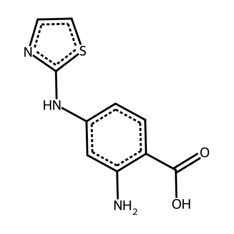 Nc1cc(Nc2nccs2)ccc1C(=O)O